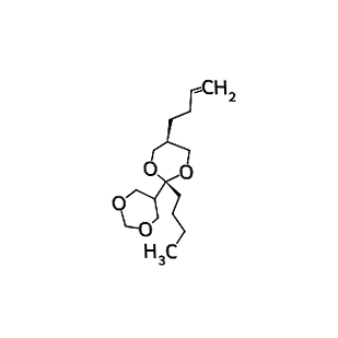 C=CCC[C@H]1CO[C@](CCCC)(C2COCOC2)OC1